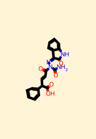 NC(=O)N(/N=C1\C(=O)Nc2ccccc21)C(=O)/C=C/C(C(=O)O)c1ccccc1